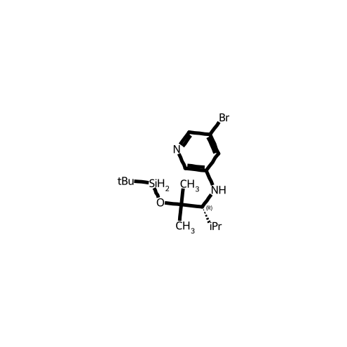 CC(C)[C@@H](Nc1cncc(Br)c1)C(C)(C)O[SiH2]C(C)(C)C